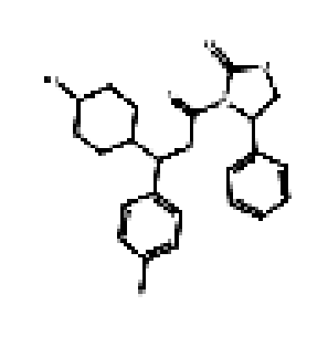 O=C(CC(c1ccc(F)cc1)C1CCC(O)CC1)N1C(=O)OCC1c1ccccc1